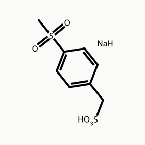 CS(=O)(=O)c1ccc(CS(=O)(=O)O)cc1.[NaH]